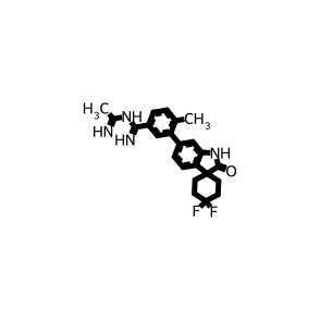 CC(=N)NC(=N)c1ccc(C)c(-c2ccc3c(c2)NC(=O)C32CCC(F)(F)CC2)c1